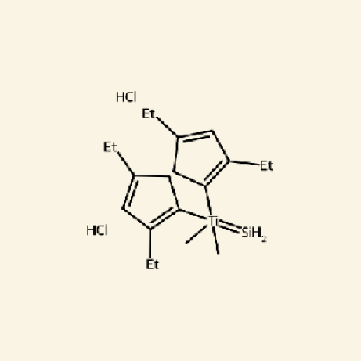 CCC1=CC(CC)=[C]([Ti]([CH3])([CH3])(=[SiH2])[C]2=C(CC)C=C(CC)C2)C1.Cl.Cl